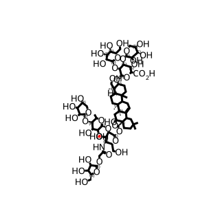 CC1O[C@@H](OC2C(O)[C@@H](NC(=O)CO[C@@H]3O[C@@H](CO)C(O)C3O)C(CO)O[C@H]2OC(=O)[C@]23CCC(C)(C)CC2C2=CCC4C5(C)CC[C@H](O[C@@H]6OC(C(=O)O)[C@@H](O)[C@H](O[C@@H]7OC[C@@H](O)[C@H](O)C7O)C6O[C@@H]6OC(CO)[C@H](O)[C@H](O)C6O)[C@](C)(CO)[C@@H]5CC[C@]4(C)[C@]2(C)CC3O)C(O)C(O)[C@H]1O[C@@H]1OC[C@@H](O)C(O)C1O